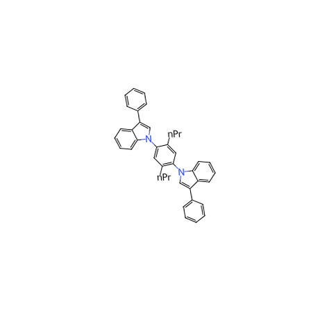 CCCc1cc(-n2cc(-c3ccccc3)c3ccccc32)c(CCC)cc1-n1cc(-c2ccccc2)c2ccccc21